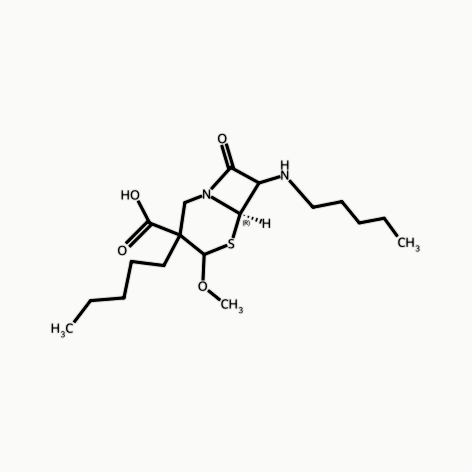 CCCCCNC1C(=O)N2CC(CCCCC)(C(=O)O)C(OC)S[C@H]12